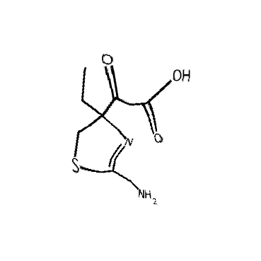 CCC1(C(=O)C(=O)O)CSC(N)=N1